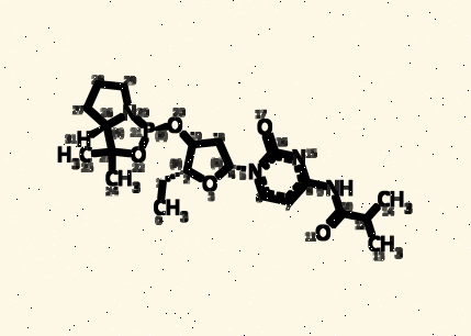 CC[C@H]1O[C@@H](n2ccc(NC(=O)C(C)C)nc2=O)CC1O[P@@]1OC(C)(C)[C@@H]2CCCN21